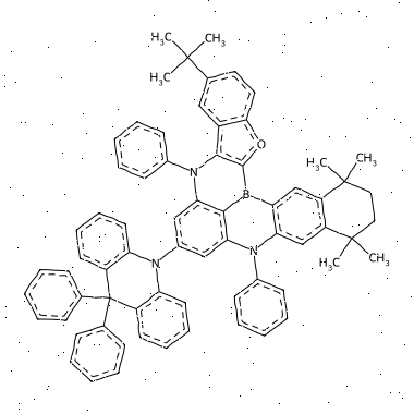 CC(C)(C)c1ccc2oc3c(c2c1)N(c1ccccc1)c1cc(N2c4ccccc4C(c4ccccc4)(c4ccccc4)c4ccccc42)cc2c1B3c1cc3c(cc1N2c1ccccc1)C(C)(C)CCC3(C)C